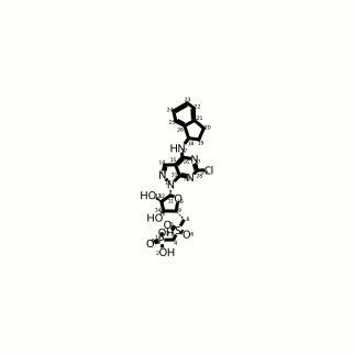 O=P(O)(O)CS(=O)(=O)C[C@H]1O[C@@H](n2ncc3c(NC4CCc5ccccc54)nc(Cl)nc32)[C@H](O)[C@@H]1O